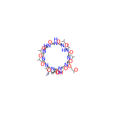 C/C=C/C[C@@H](C)[C@@H](O)[C@H]1C(=O)N[C@@H](CC)C(=O)N(C)[C@H](COCCC(C)=O)C(=O)N(C)[C@@H](CC(C)C)C(=O)N[C@@H](C(C)C)C(=O)N(C)[C@@H](CC(C)C)C(=O)N[C@@H](C)C(=O)N[C@H](C)C(=O)N(C)[C@@H](CC(C)C)C(=O)N(C)[C@@H](CC(C)C)C(=O)N(C)[C@@H](C(C)C)C(=O)N1C